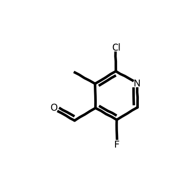 Cc1c(Cl)ncc(F)c1C=O